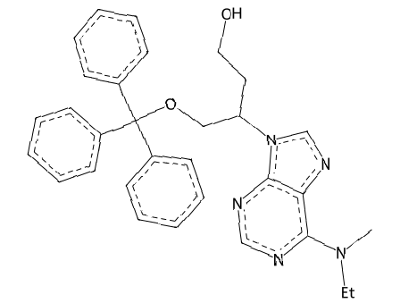 CCN(C)c1ncnc2c1ncn2C(CCO)COC(c1ccccc1)(c1ccccc1)c1ccccc1